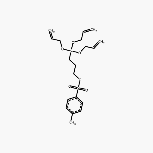 C=CCO[Si](CCCOS(=O)(=O)c1ccc(C)cc1)(OCC=C)OCC=C